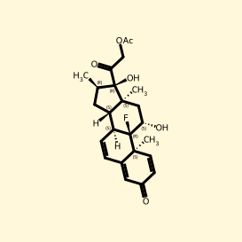 CC(=O)OCC(=O)[C@@]1(O)[C@H](C)C[C@H]2[C@@H]3C=CC4=CC(=O)C=C[C@]4(C)[C@@]3(F)[C@@H](O)C[C@@]21C